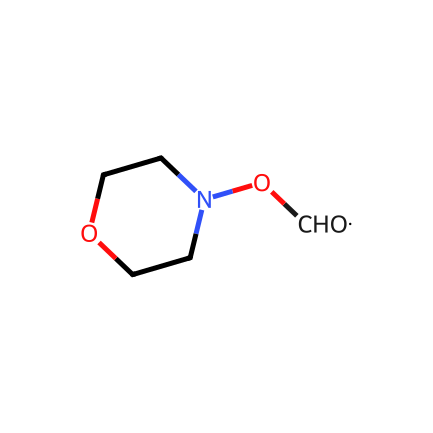 O=[C]ON1CCOCC1